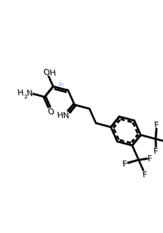 N=C(/C=C(/O)C(N)=O)CCc1ccc(C(F)(F)F)c(C(F)(F)F)c1